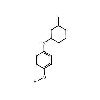 CCOc1ccc(NC2CCCC(C)C2)cc1